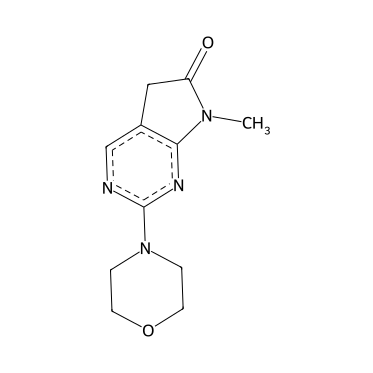 CN1C(=O)Cc2cnc(N3CCOCC3)nc21